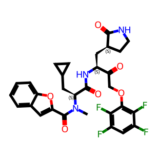 CN(C(=O)c1cc2ccccc2o1)[C@@H](CC1CC1)C(=O)N[C@@H](C[C@@H]1CCNC1=O)C(=O)COc1c(F)c(F)cc(F)c1F